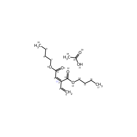 C=C/C(=C/C(=O)OCCCC)C(=O)OCCCC.CC(=O)O